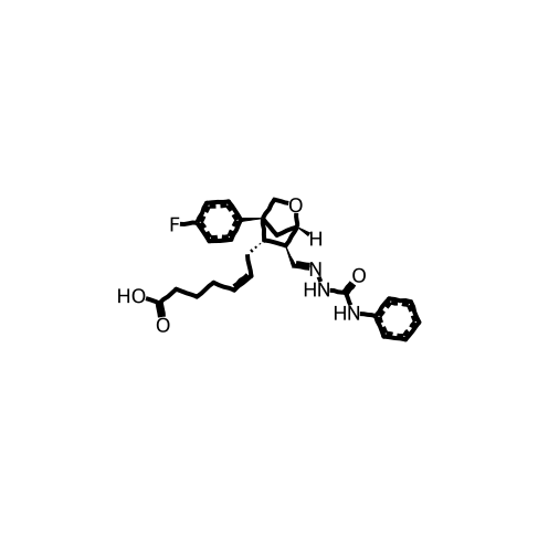 O=C(O)CCC/C=C\C[C@H]1[C@H](C=NNC(=O)Nc2ccccc2)[C@@H]2C[C@@]1(c1ccc(F)cc1)CO2